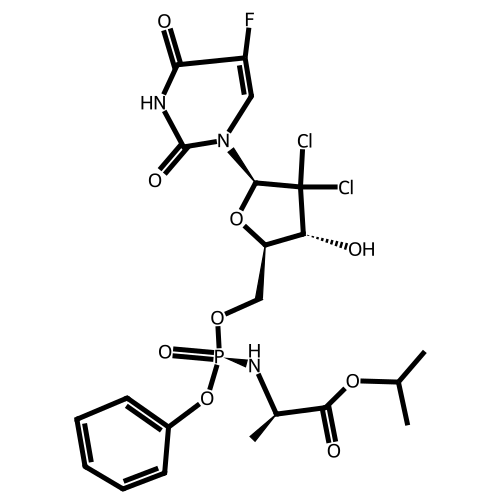 CC(C)OC(=O)[C@@H](C)N[P@@](=O)(OC[C@H]1O[C@@H](n2cc(F)c(=O)[nH]c2=O)C(Cl)(Cl)[C@@H]1O)Oc1ccccc1